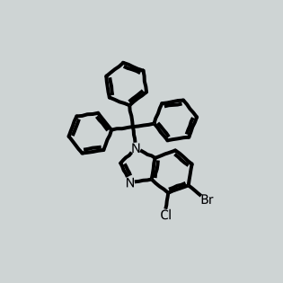 Clc1c(Br)ccc2c1ncn2C(c1ccccc1)(c1ccccc1)c1ccccc1